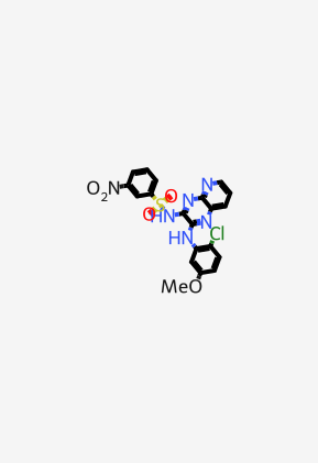 COc1ccc(Cl)c(Nc2nc3cccnc3nc2NS(=O)(=O)c2cccc([N+](=O)[O-])c2)c1